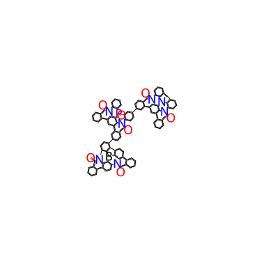 O=c1c2ccccc2c2ccc3c4c2n1-c1ccc2c5ccccc5c(=O)n5c2c1B4c1c-5ccc(-c2ccc4c(=O)n5c6c7c8c(cc6c4c2)c2ccccc2c(=O)n8-c2ccccc2P7(=O)c2cc(-c4ccc6c(=O)n7c8cccc9c%10cccc%11c%10n(c98)c8c9c(cc(c6c4)c87)c4ccccc4c(=O)n%119)ccc2-5)c1-3